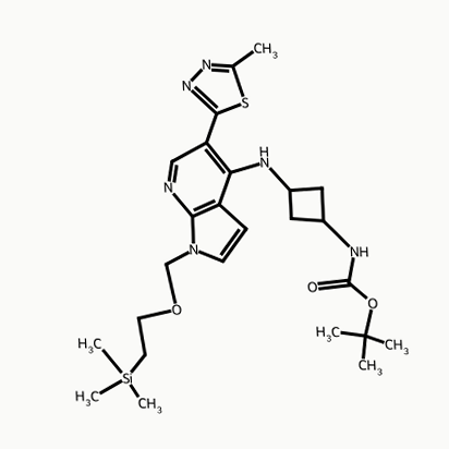 Cc1nnc(-c2cnc3c(ccn3COCC[Si](C)(C)C)c2NC2CC(NC(=O)OC(C)(C)C)C2)s1